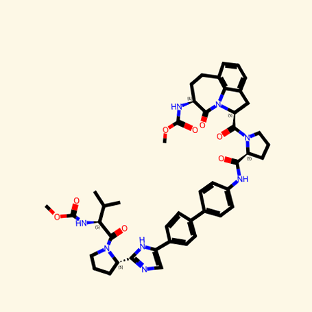 COC(=O)N[C@H]1CCc2cccc3c2N(C1=O)[C@H](C(=O)N1CCC[C@H]1C(=O)Nc1ccc(-c2ccc(-c4cnc([C@@H]5CCCN5C(=O)[C@@H](NC(=O)OC)C(C)C)[nH]4)cc2)cc1)C3